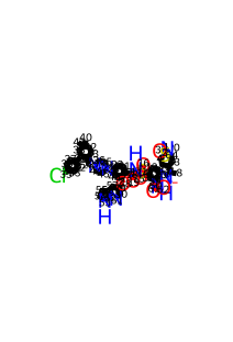 CN=S1(=O)CCC(C(C)Nc2ccc(S(=O)(=O)NC(=O)c3ccc(N4CCN(CC5=C(c6ccc(Cl)cc6)CC(C)(C)CC5)CC4)cc3Oc3cnc4[nH]ccc4c3)cc2[N+](=O)[O-])CC1